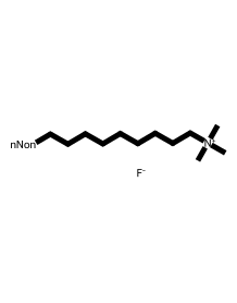 CCCCCCCCCCCCCCCCCC[N+](C)(C)C.[F-]